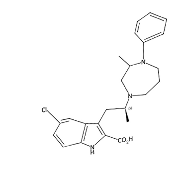 CC1CN([C@@H](C)Cc2c(C(=O)O)[nH]c3ccc(Cl)cc23)CCCN1c1ccccc1